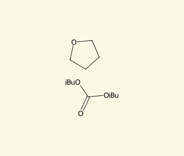 C1CCOC1.CC(C)COC(=O)OCC(C)C